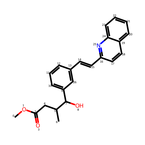 COC(=O)CC(C)C(O)c1cccc(C=Cc2ccc3ccccc3n2)c1